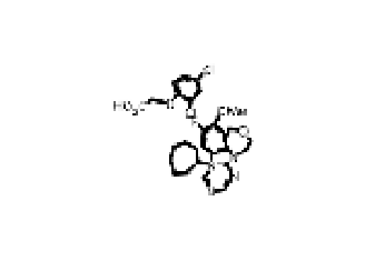 COc1ccc([N+]2(C3CCCCCC3)C=NC=NC2N2CCOCC2)cc1F.O=C(O)COc1ccc(Cl)cc1Cl